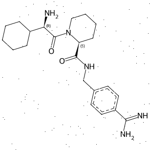 N=C(N)c1ccc(CNC(=O)[C@@H]2CCCCN2C(=O)[C@H](N)C2CCCCC2)cc1